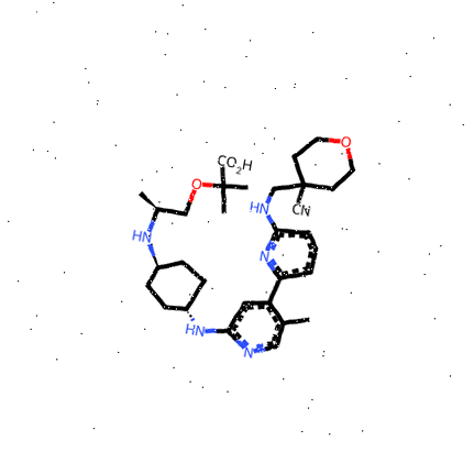 Cc1cnc(N[C@H]2CC[C@H](N[C@@H](C)COC(C)(C)C(=O)O)CC2)cc1-c1cccc(NCC2(C#N)CCOCC2)n1